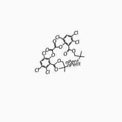 CCCCCC(C)(C)COC(=O)c1c(Cl)c(Cl)cc(Cl)c1OC(=O)C(=O)Oc1c(Cl)cc(Cl)c(Cl)c1C(=O)OCC(C)(C)CCCCC